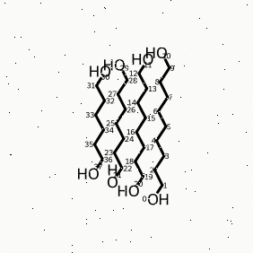 OCCCCCCCCCO.OCCCCCCCCO.OCCCCCCCO.OCCCCCCO